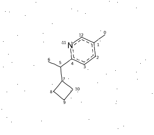 Cc1ccc(C(C)C2CCC2)nc1